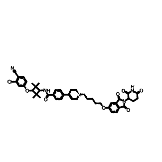 CC1(C)C(NC(=O)c2ccc(C3=CCN(CCCCCOc4ccc5c(c4)C(=O)N(C4CCC(=O)NC4=O)C5=O)CC3)cc2)C(C)(C)C1Oc1ccc(C#N)c(Cl)c1